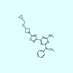 CN(c1ccccc1)c1nc(N)nc(-c2noc(N3CC(OCC4CC4)C3)n2)n1